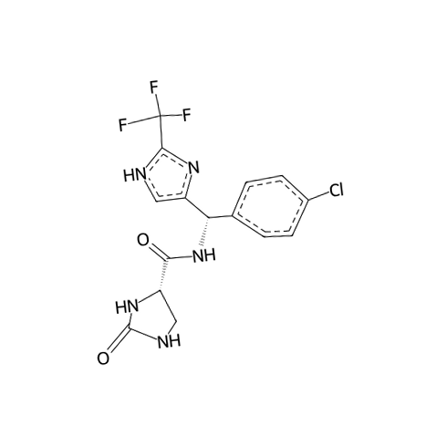 O=C1NC[C@@H](C(=O)N[C@@H](c2ccc(Cl)cc2)c2c[nH]c(C(F)(F)F)n2)N1